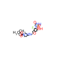 CC(C)(C)OC(=O)N1CCC(CNC[C@H]2Cc3c(cc(O)c(N4CC(=O)NS4(=O)=O)c3F)O2)CC1